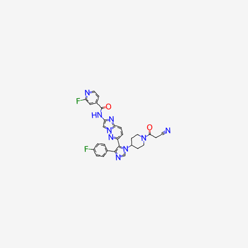 N#CCC(=O)N1CCC(n2cnc(-c3ccc(F)cc3)c2-c2ccc3nc(NC(=O)c4ccnc(F)c4)cn3n2)CC1